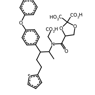 CC(C(CCc1cccs1)c1ccc(Oc2ccccc2)cc1)N(CC(=O)O)C(=O)C1COC(C(=O)O)(C(=O)O)O1